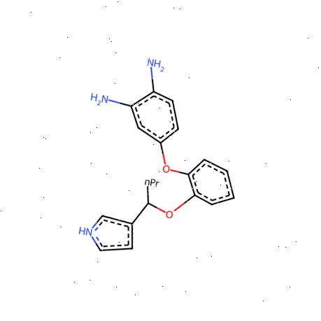 CCCC(Oc1ccccc1Oc1ccc(N)c(N)c1)c1cc[nH]c1